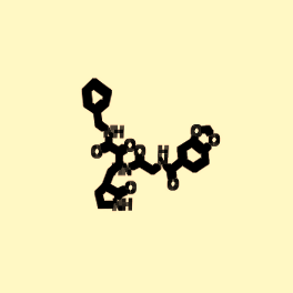 O=C(CNC(=O)c1ccc2c(c1)OCO2)NC(CC1CCNC1=O)C(=O)C(=O)NCc1ccccc1